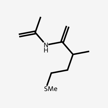 C=C(C)NC(=C)C(C)CCSC